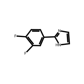 Fc1ccc(-c2ncc[nH]2)cc1F